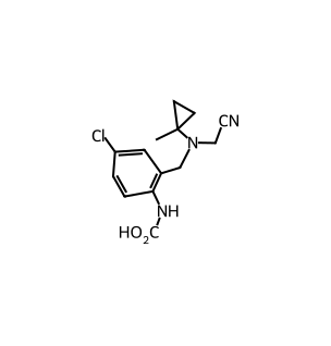 CC1(N(CC#N)Cc2cc(Cl)ccc2NC(=O)O)CC1